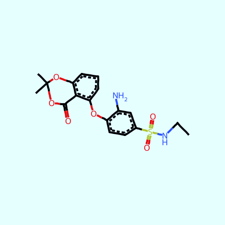 CCNS(=O)(=O)c1ccc(Oc2cccc3c2C(=O)OC(C)(C)O3)c(N)c1